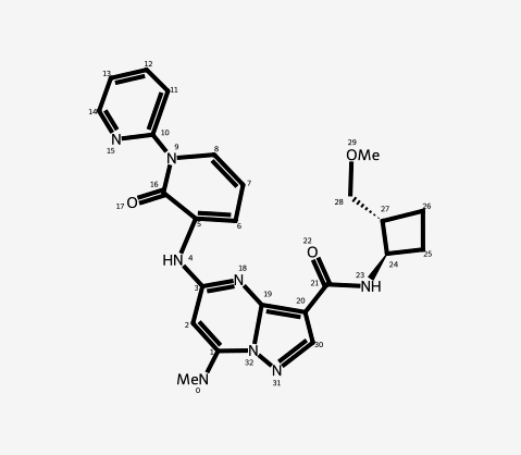 CNc1cc(Nc2cccn(-c3ccccn3)c2=O)nc2c(C(=O)N[C@@H]3CC[C@H]3COC)cnn12